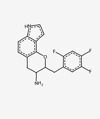 NC1Cc2ccc3[nH]ccc3c2OC1Cc1cc(F)c(F)cc1F